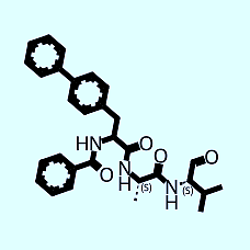 CC(C)[C@@H](C=O)NC(=O)[C@H](C)NC(=O)C(Cc1ccc(-c2ccccc2)cc1)NC(=O)c1ccccc1